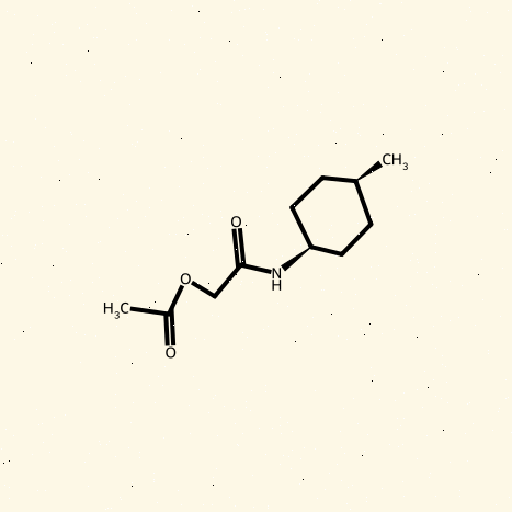 CC(=O)OCC(=O)N[C@H]1CC[C@@H](C)CC1